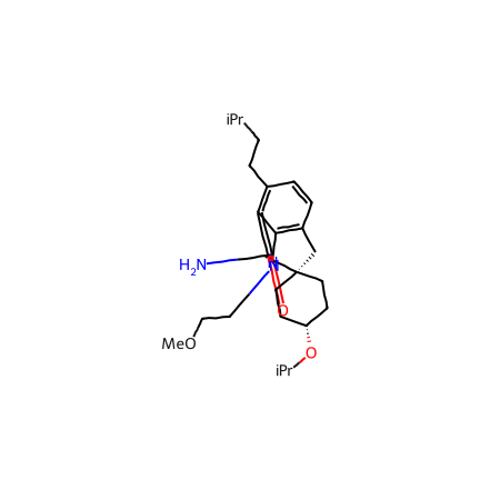 COCCN1C(=O)C2(N=C1N)c1cc(CCC(C)C)ccc1C[C@]21CC[C@@H](OC(C)C)CC1